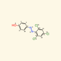 Oc1ccc(N=Nc2c(Cl)cc(Cl)cc2Cl)cc1